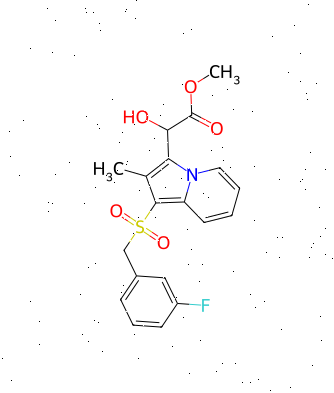 COC(=O)C(O)c1c(C)c(S(=O)(=O)Cc2cccc(F)c2)c2ccccn12